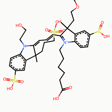 COCCC1(C)C(/C=C/C=C2/N(CCO)c3ccc(S(=O)(=O)O)cc3C2(C)CCCS(=O)(=O)O)=[N+](CCCCCC(=O)O)c2ccc(S(=O)O)cc21